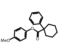 COc1ccc(OC(=O)C2(c3ccccc3)CCCCC2)cc1